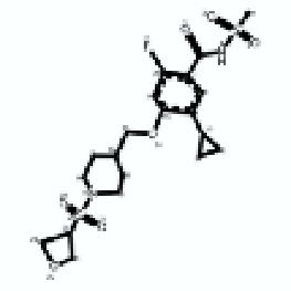 CS(=O)(=O)NC(=O)c1cc(C2CC2)c(OCC2CCN(S(=O)(=O)C3COC3)CC2)cc1F